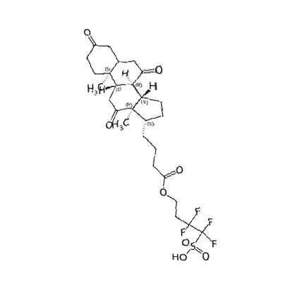 C[C@]12C(=O)C[C@H]3[C@@H](C(=O)CC4CC(=O)CC[C@@]43C)[C@@H]1CC[C@@H]2CCCC(=O)OCCC(F)(F)C(F)(F)S(=O)(=O)O